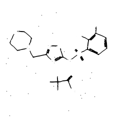 Cc1c(Cl)cccc1S(=O)(=O)Nc1nc(CN2CCOCC2)ns1.O=C(O)C(F)(F)F